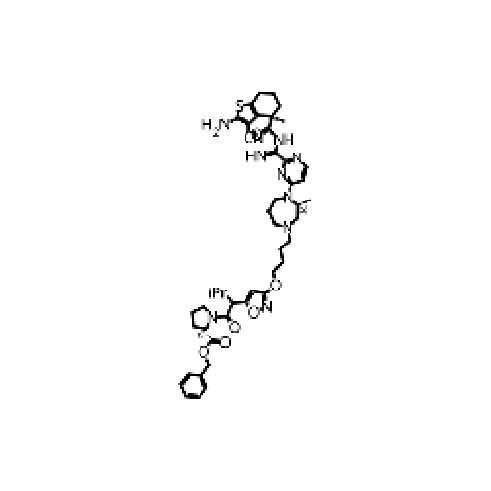 CC(C)C(C(=O)N1CCC[C@H]1C(=O)OCc1ccccc1)c1cc(OCCCCN2CCCN(c3ccnc(C(=N)NC(=O)[C@@]4(C)CCCc5sc(N)c(C#N)c54)n3)[C@@H](C)C2)no1